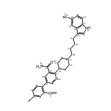 COc1cc(F)ccc1-c1cnc(N2CCN(CCCCc3c[nH]c4ccc(C#N)cc34)CC2)c(C(N)=O)c1